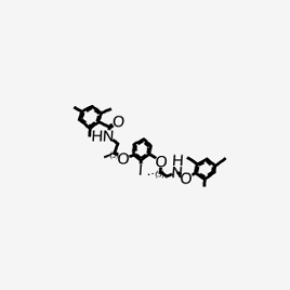 Cc1cc(C)c(ONC[C@H](C)Oc2cccc(O[C@@H](C)CNC(=O)c3c(C)cc(C)cc3C)c2I)c(C)c1